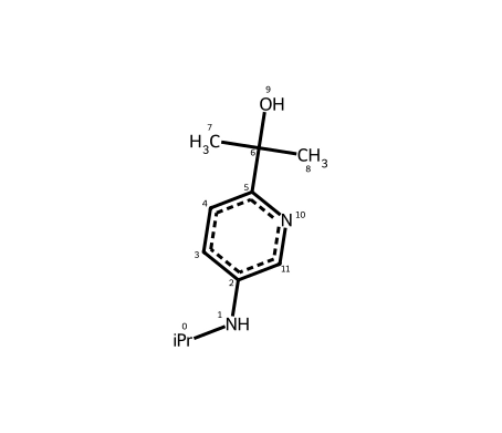 CC(C)Nc1ccc(C(C)(C)O)nc1